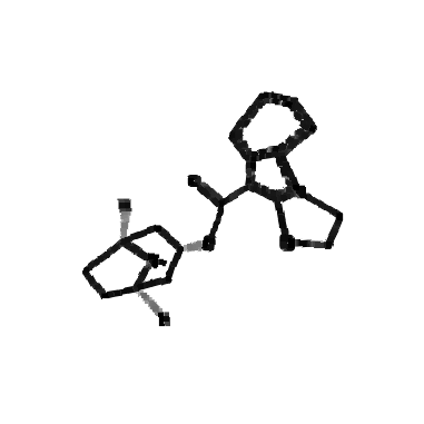 CN1[C@@H]2CC[C@H]1C[C@H](OC(=O)c1c3n(c4ccccc14)CCO3)C2